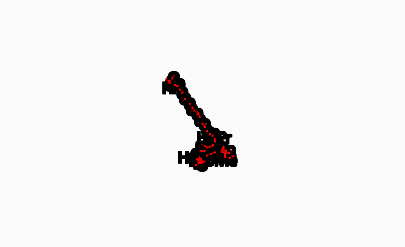 COc1cc2c(cc1OCCCCCOc1cc3c(cc1OC)C(=O)N1CC[C@H]1[C@H](O)N3C(=O)OCc1ccc(NC(=O)[C@H](C)NC(=O)[C@@H](NC(=O)CCOCCOCCOCCOCCOCCOCCOCCOCCNC(=O)CCN3C(=O)C=CC3=O)C(C)C)cc1)N=C[C@@H]1CCN1C2=O